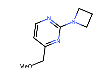 COCc1ccnc(N2CCC2)n1